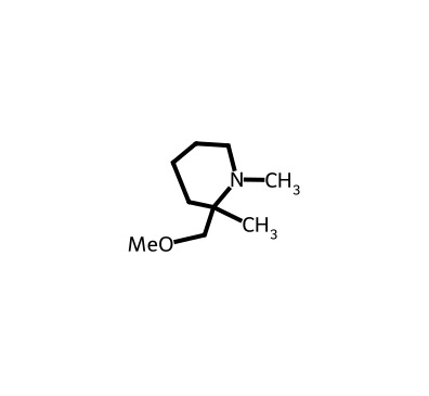 COCC1(C)CCCCN1C